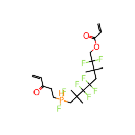 C=CC(=O)CC[PH](F)(F)CC(C)(C)C(F)(F)C(F)(F)CC(C)(C)C(F)(F)COC(=O)C=C